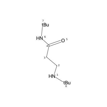 CC(C)(C)NCCC(=O)NC(C)(C)C